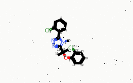 Cn1c(-c2ccccc2Cl)nnc1C(C)(C)Oc1ccccc1Cl